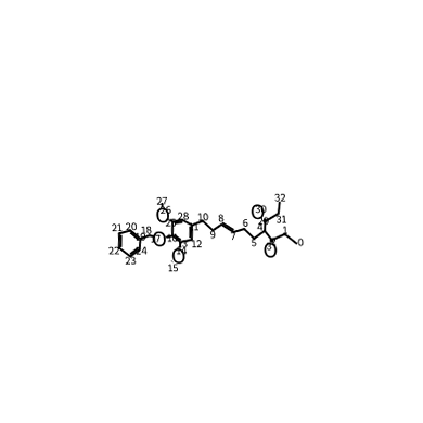 CCC(=O)C(CCC=CCCc1cc(OC)c(OCc2ccccc2)c(OC)c1)C(=O)CC